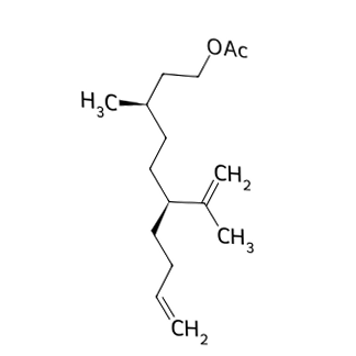 C=CCC[C@@H](CC[C@@H](C)CCOC(C)=O)C(=C)C